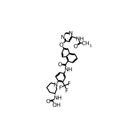 CC(=O)Nc1cc(Oc2ccc3c(C(=O)Nc4ccc(N5CCC[C@@H](NC(=O)O)C5)c(C(F)(F)F)c4)cccc3c2)ncn1